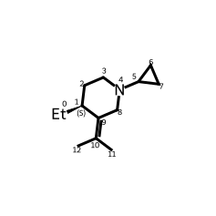 CC[C@H]1CCN(C2CC2)CC1=C(C)C